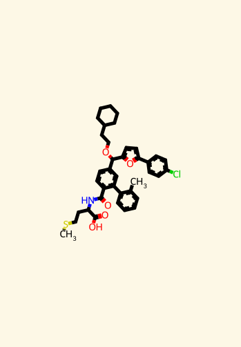 CSCCC(NC(=O)c1ccc(C(OCCC2CCCCC2)c2ccc(-c3ccc(Cl)cc3)o2)cc1-c1ccccc1C)C(=O)O